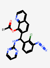 CCC(=O)Oc1c(C(Nc2ncccn2)c2cccc(N=[N+]=[N-])c2Cl)ccc2cccnc12